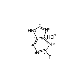 Cl.Fc1ncc2[nH]cnc2n1